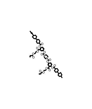 C=CC(=O)OCCOC(=O)c1cc(OC(=O)N2CCN(C(=O)Oc3ccc(OC(=O)C4CCC(C5CCC(C#CC)CC5)CC4)c(C(=O)OCCOC(=O)C=C)c3)CC2)ccc1OC(=O)C1CCC(C2CCC(C)CC2)CC1